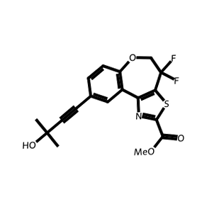 COC(=O)c1nc2c(s1)C(F)(F)COc1ccc(C#CC(C)(C)O)cc1-2